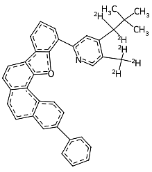 [2H]C([2H])([2H])c1cnc(-c2cccc3c2oc2c3ccc3ccc4cc(-c5ccccc5)ccc4c32)cc1C([2H])([2H])C(C)(C)C